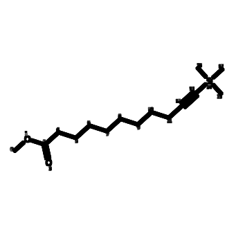 COC(=O)CCCCCCCCC#C[Si](C)(C)C